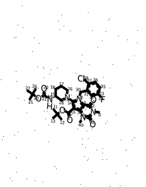 Cn1c(=O)c2c(c(C(=O)OC(C)(C)C)c(N3CCC[C@@H](NC(=O)OC(C)(C)C)C3)n2Cc2cc(F)ccc2Cl)n(C)c1=O